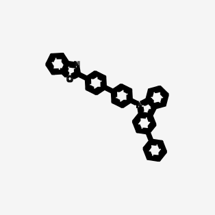 c1ccc(-c2ccc3c(c2)c2ccccc2n3-c2ccc(-c3ccc(-c4nc5ccccc5o4)cc3)cc2)cc1